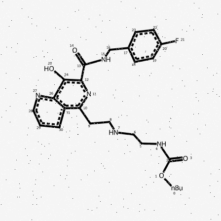 CCCCOC(=O)NCCNCCc1nc(C(=O)NCc2ccc(F)cc2)c(O)c2ncccc12